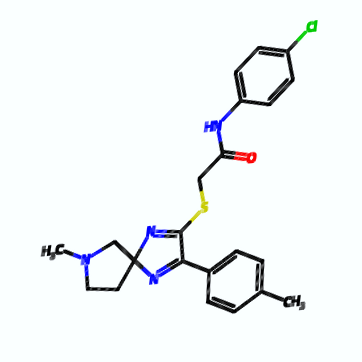 Cc1ccc(C2=NC3(CCN(C)C3)N=C2SCC(=O)Nc2ccc(Cl)cc2)cc1